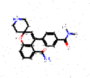 CCN(CC)C(=O)c1ccc(C2=CC3(CCNCC3)Oc3cccc(C(N)=O)c32)cc1